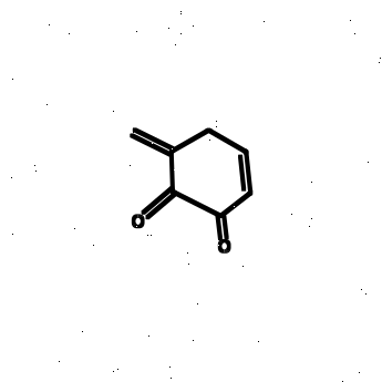 C=C1CC=CC(=O)C1=O